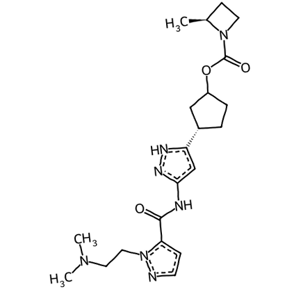 C[C@H]1CCN1C(=O)OC1CC[C@H](c2cc(NC(=O)c3ccnn3CCN(C)C)n[nH]2)C1